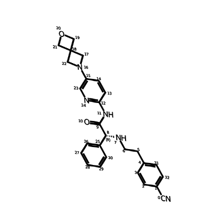 N#Cc1ccc(CCN[C@@H](C(=O)Nc2ccc(N3CC4(COC4)C3)cn2)c2ccccc2)cc1